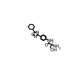 C[C@](N)(CO)C(=O)Nc1ccc(-c2noc(C3CCCCC3)n2)cc1